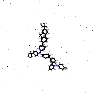 CCC(C)(CC)c1ccc(N(c2ccc(-c3ccc4c(c3)C(C)(C)c3cc(C(C)(CC)CC)ccc3-4)cc2)c2ccc(-c3ccc4c(c3)c3ccccc3n4C3=CCC(C)C=C3)cc2)cc1